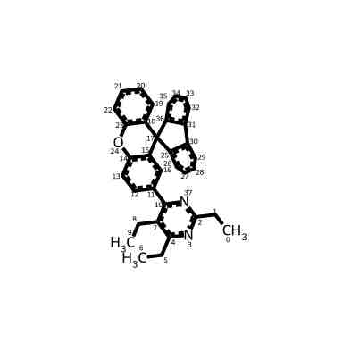 CCc1nc(CC)c(CC)c(-c2ccc3c(c2)C2(c4ccccc4O3)c3ccccc3-c3ccccc32)n1